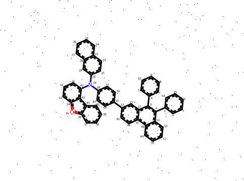 c1ccc(-c2c(-c3ccccc3)c3cc(-c4ccc(N(c5ccc6ccccc6c5)c5cccc6oc7ccccc7c56)cc4)ccc3c3ccccc23)cc1